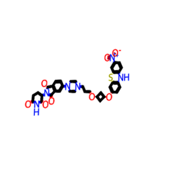 O=C1CCC(N2C(=O)c3ccc(N4CCN(CCCO[C@H]5C[C@H](Oc6ccc7c(c6)Sc6cc([N+](=O)[O-])ccc6N7)C5)CC4)cc3C2=O)C(=O)N1